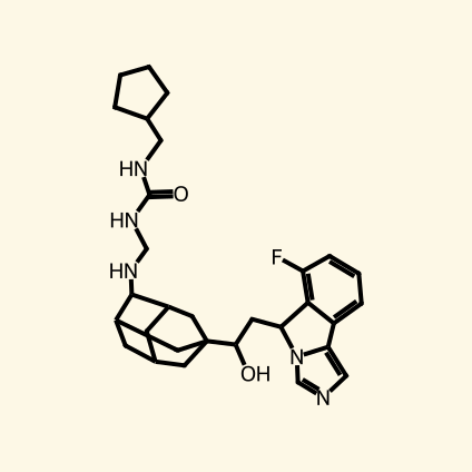 O=C(NCNC1C2CC3CC1CC(C(O)CC1c4c(F)cccc4-c4cncn41)(C3)C2)NCC1CCCC1